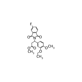 CCOc1cc(C(CC(=O)OC)N2C(=O)c3ccc(F)cc3C2=O)ccc1OC